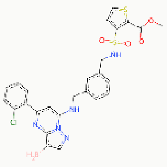 Bc1cnn2c(NCc3cccc(CNS(=O)(=O)c4ccsc4C(=O)OC)c3)cc(-c3ccccc3Cl)nc12